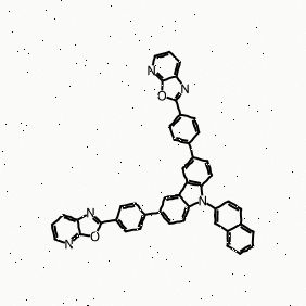 c1ccc2cc(-n3c4ccc(-c5ccc(-c6nc7cccnc7o6)cc5)cc4c4cc(-c5ccc(-c6nc7cccnc7o6)cc5)ccc43)ccc2c1